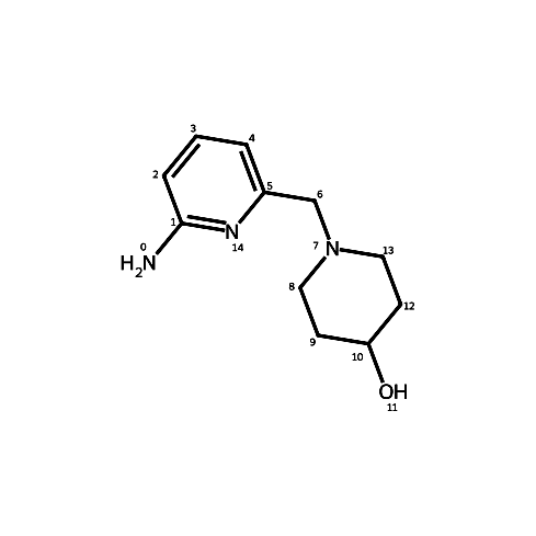 Nc1cccc(CN2CCC(O)CC2)n1